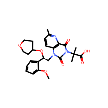 COc1ccccc1[C@H](Cn1c(=O)n(C(C)(C)C(=O)O)c(=O)c2nc(C)ccc21)OC1CCOCC1